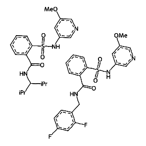 COc1cncc(NS(=O)(=O)c2ccccc2C(=O)NC(C(C)C)C(C)C)c1.COc1cncc(NS(=O)(=O)c2ccccc2C(=O)NCc2ccc(F)cc2F)c1